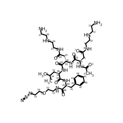 CC(=O)N[C@H](CC(=O)NCCNCCN)C(=O)N[C@@H](CC(=O)NCCNCCN)C(=O)N[C@H](CC(C)C)C(=O)N[C@@H](Cc1ccccc1)C(=O)NCCOCCN=[N+]=[N-]